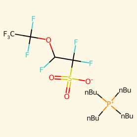 CCCC[P+](CCCC)(CCCC)CCCC.O=S(=O)([O-])C(F)(F)C(F)OC(F)(F)C(F)(F)F